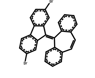 Brc1ccc2c(c1)C(=C1c3ccccc3C=Cc3ccccc31)c1cc(Br)ccc1-2